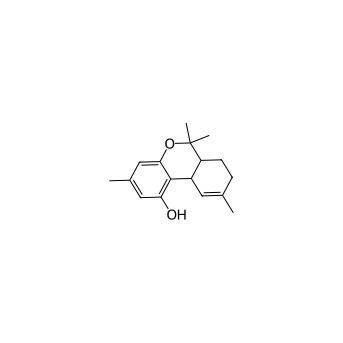 CC1=CC2c3c(O)cc(C)cc3OC(C)(C)C2CC1